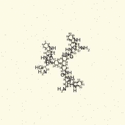 CCc1[nH]c2ccccc2c1CC(=O)N[C@H](CCCCN)C(=O)Nc1ccc(C(c2ccc(NC(=O)[C@@H](CCCCN)NC(=O)Cc3c(CC)[nH]c4ccccc34)cc2)c2ccc(NC(=O)[C@@H](CCCCN)NC(=O)Cc3c(CC)[nH]c4ccccc34)cc2)cc1.Cl